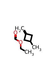 C=C1CC(C)C1.CCOC=O